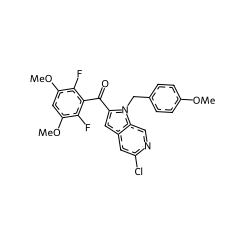 COc1ccc(Cn2c(C(=O)c3c(F)c(OC)cc(OC)c3F)cc3cc(Cl)ncc32)cc1